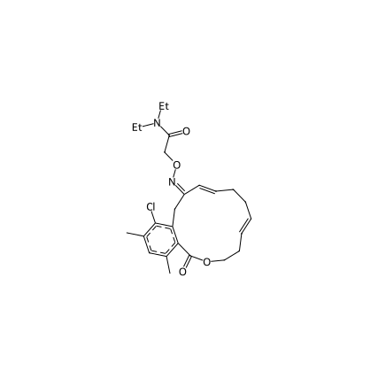 CCN(CC)C(=O)CO/N=C1\C=C\CC/C=C/CCOC(=O)c2c(C)cc(C)c(Cl)c2C1